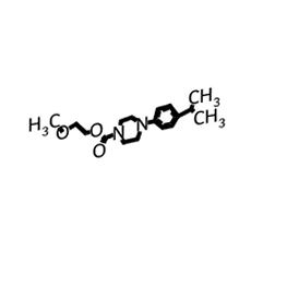 COCCOC(=O)N1CCN(c2ccc(C(C)C)cc2)CC1